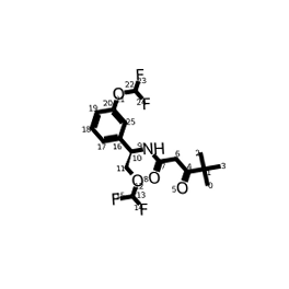 CC(C)(C)C(=O)CC(=O)N[C@@H](COC(F)F)c1cccc(OC(F)F)c1